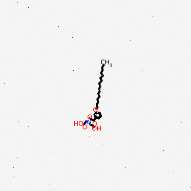 CCCCCCCCCCCCCCCCCCOc1cccc(CC(=O)N(CC(=O)O)CC(=O)O)c1